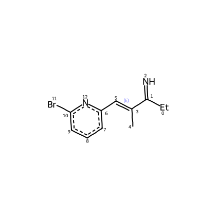 CCC(=N)/C(C)=C/c1cccc(Br)n1